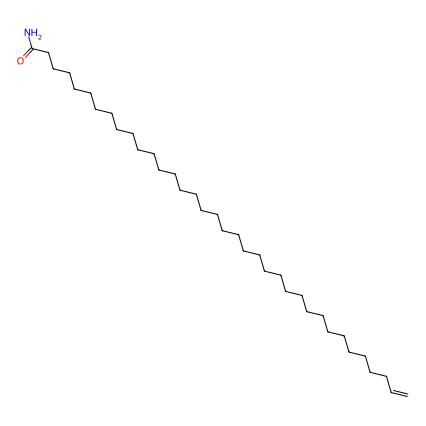 C=CCCCCCCCCCCCCCCCCCCCCCCCCCCCCCCCCCC(N)=O